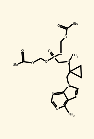 CN(CP(=O)(OCOC(=O)C(C)(C)C)OCOC(=O)C(C)(C)C)C1(Cn2cnc3c(N)ncnc32)CC1